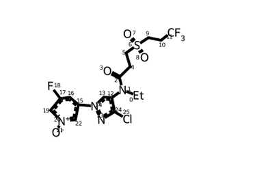 CCN(C(=O)CCS(=O)(=O)CCC(F)(F)F)c1cn(-c2cc(F)c[n+]([O-])c2)nc1Cl